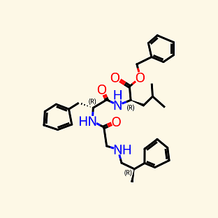 CC(C)C[C@@H](NC(=O)[C@@H](Cc1ccccc1)NC(=O)CNC[C@H](C)c1ccccc1)C(=O)OCc1ccccc1